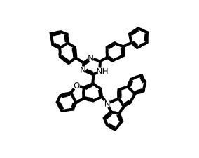 c1ccc(-c2ccc(C3N=C(c4ccc5ccccc5c4)N=C(c4cc(-n5c6ccccc6c6cc7ccccc7cc65)cc5c4oc4ccccc45)N3)cc2)cc1